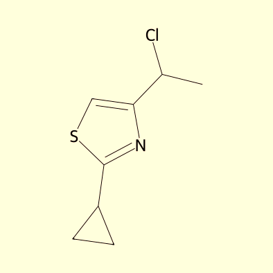 CC(Cl)c1csc(C2CC2)n1